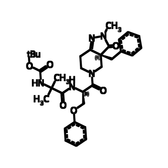 CN1N=C2CCN(C(=O)[C@@H](COc3ccccc3)NC(=O)C(C)(C)NC(=O)OC(C)(C)C)C[C@@]2(Cc2ccccc2)C1=O